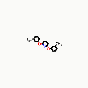 Cc1cccc(Oc2cccc(Oc3cccc(C)c3)n2)c1